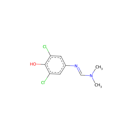 CN(C)/C=N/c1cc(Cl)c(O)c(Cl)c1